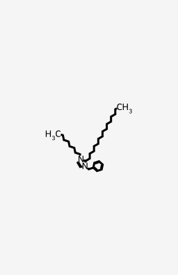 CCCCCCCCCCCCCCCC1N(CCCCCCCC)C=CN1Cc1ccccc1